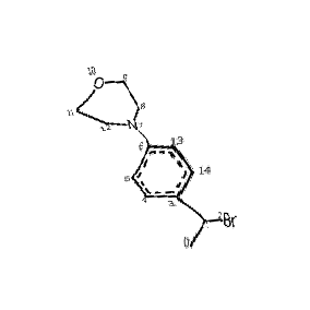 CC(Br)c1ccc(N2CCOCC2)cc1